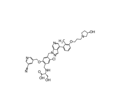 Cc1c(OCCCN2CC[C@@H](O)C2)cccc1-c1cncc2c1cnn2Cc1cc(OCc2cncc(C#N)c2)c(CN[C@@H](CO)C(=O)O)cc1Cl